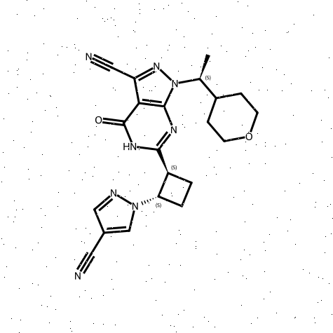 C[C@@H](C1CCOCC1)n1nc(C#N)c2c(=O)[nH]c([C@H]3CC[C@@H]3n3cc(C#N)cn3)nc21